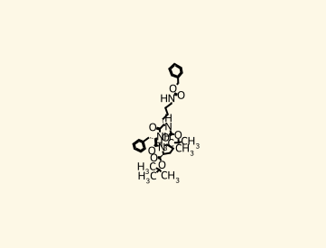 CC(C)(C)OC(=O)N[C@@H](CCCCNC(=O)OCc1ccccc1)C(=O)N[C@@H](Cc1ccccc1)C(=O)N1CCC[C@H]1C(=O)OC(C)(C)C